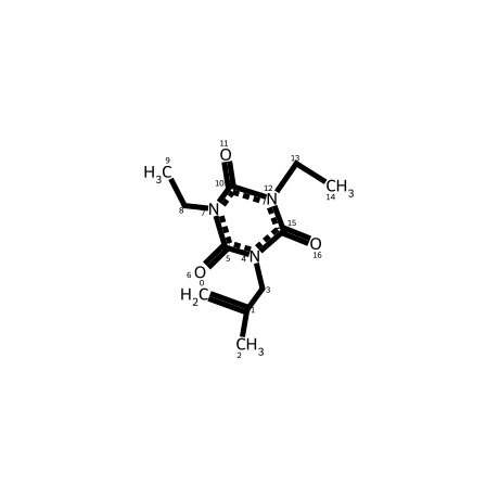 C=C(C)Cn1c(=O)n(CC)c(=O)n(CC)c1=O